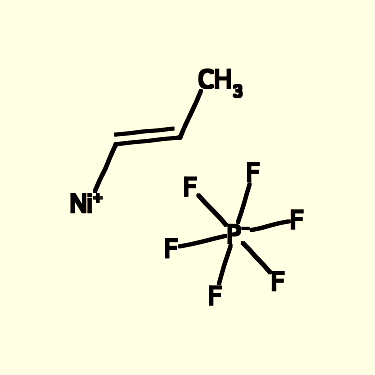 CC=[CH][Ni+].F[P-](F)(F)(F)(F)F